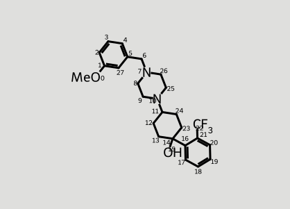 COc1cccc(CN2CCN(C3CCC(O)(c4ccccc4C(F)(F)F)CC3)CC2)c1